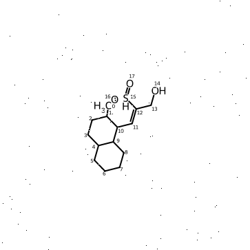 CC1CCC2CCCCC2C1/C=C(/CO)[SH](=O)=O